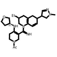 CCC1CC2=C(C=CC(C3C=NN(C)C3)C2)N(C(=N)C2=C(N[C@H]3CCOC3)CCN(C(C)=O)C2)C1